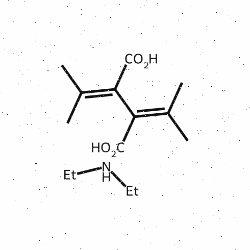 CC(C)=C(C(=O)O)C(C(=O)O)=C(C)C.CCNCC